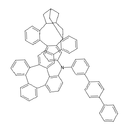 c1ccc(-c2ccc(-c3cccc(N(c4ccc5c(c4)C4CC6CC(C4)C(C6)c4ccccc4-5)c4cccc5c4-c4cc(-c6ccccc6)ccc4-c4ccccc4-c4ccccc4-5)c3)cc2)cc1